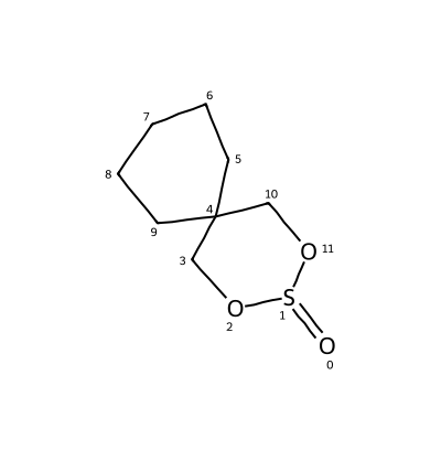 O=S1OCC2(CCCCC2)CO1